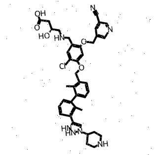 Cc1c(COc2cc(OCc3cncc(C#N)c3)c(CNC[C@@H](O)CC(=O)O)cc2Cl)cccc1-c1cccc(C2=CN(C3CCNCC3)NN2)c1C